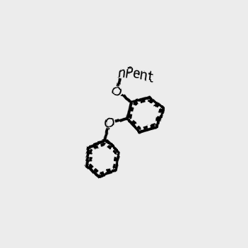 CCCCCOc1ccccc1Oc1ccccc1